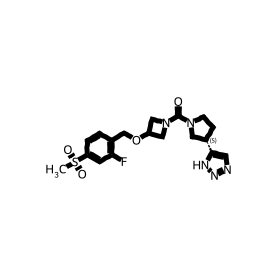 CS(=O)(=O)c1ccc(COC2CN(C(=O)N3CC[C@H](c4cnn[nH]4)C3)C2)c(F)c1